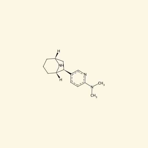 CN(C)c1ccc([C@@H]2C[C@H]3CCC[C@@H]2N3)cn1